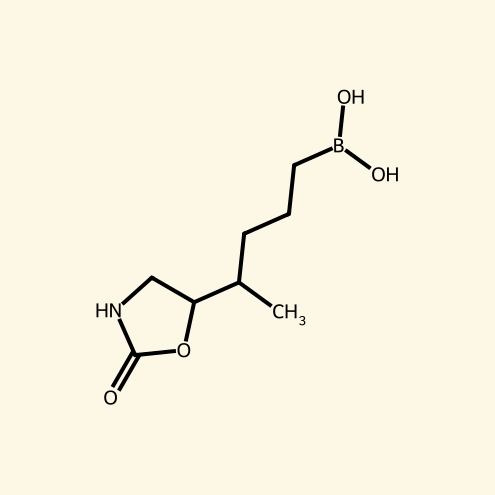 CC(CCCB(O)O)C1CNC(=O)O1